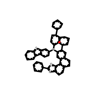 c1ccc(-c2ccc(N(c3ccc4c(c3)sc3ccccc34)c3cc4c(ccc5ccc6nc(-c7ccccc7)oc6c54)cc3-c3ccccc3)cc2)cc1